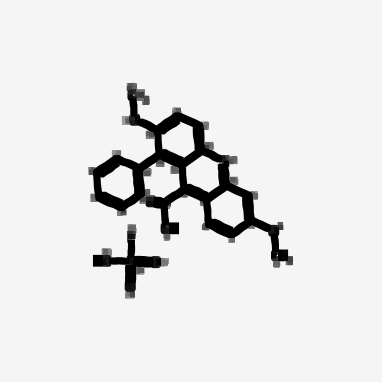 COc1ccc2c(C(=O)O)c3c(-c4ccccc4)c(OC)ccc3nc2c1.O=S(=O)(O)F